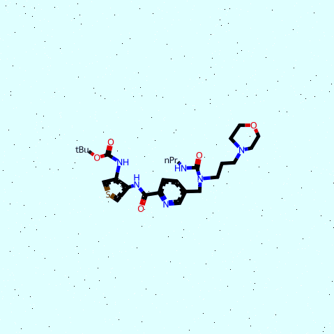 CCCNC(=O)N(CCCN1CCOCC1)Cc1ccc(C(=O)Nc2cscc2NC(=O)OC(C)(C)C)nc1